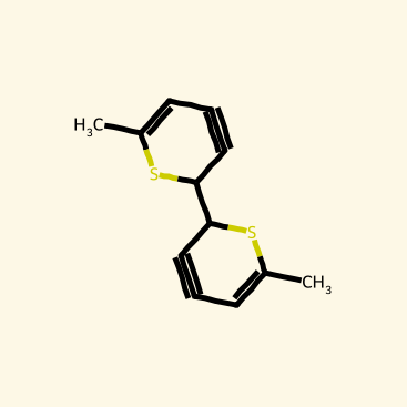 CC1=CC#CC(C2C#CC=C(C)S2)S1